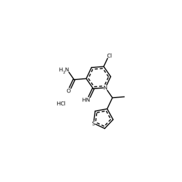 CC(c1ccsc1)n1cc(Cl)cc(C(N)=O)c1=N.Cl